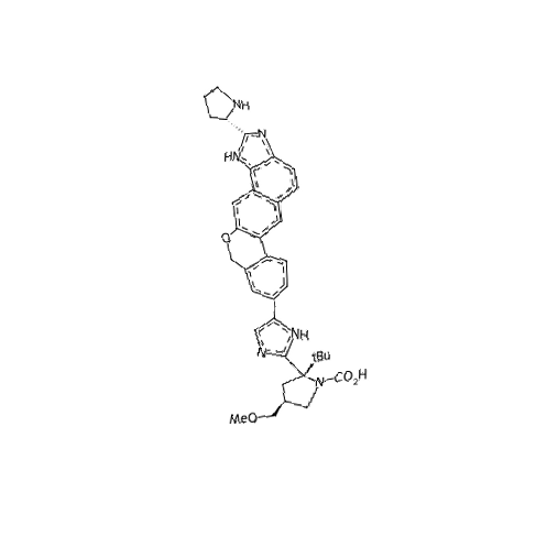 COC[C@@H]1CN(C(=O)O)[C@](c2ncc(-c3ccc4c(c3)COc3cc5c(ccc6nc([C@@H]7CCCN7)[nH]c65)cc3-4)[nH]2)(C(C)(C)C)C1